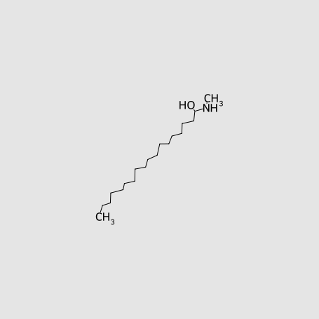 CCCCCCCCCCCCCCCCCC(O)NC